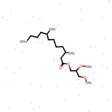 CCCCCCCCCCCCCC(CCCCC(CC(=O)OCC(COOC(C)=O)OOC(C)=O)OC(C)=O)OC(C)=O